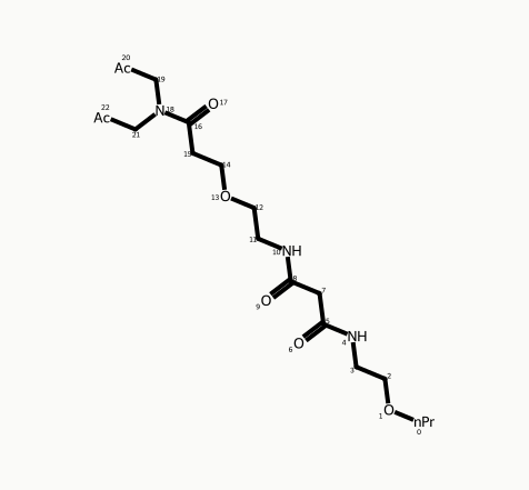 CCCOCCNC(=O)CC(=O)NCCOCCC(=O)N(CC(C)=O)CC(C)=O